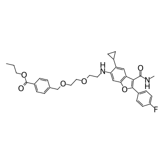 CCCOC(=O)c1ccc(COCCOCCNc2cc3oc(-c4ccc(F)cc4)c(C(=O)NC)c3cc2C2CC2)cc1